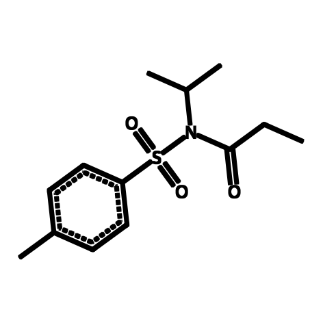 CCC(=O)N(C(C)C)S(=O)(=O)c1ccc(C)cc1